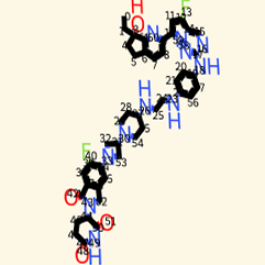 CC[C@@]1(O)CCc2ccc(-c3cc(F)c4cnc(Nc5ccc(NCCNC6CCN(C7CN(c8cc9c(cc8F)C(=O)N(C8CCC(=O)NC8=O)C9)C7)CC6)cc5)nn34)nc21